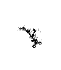 CC(C)(CC(=O)CN)OC(=O)CCC(NCCNC(=O)C(CCN(C(=O)CO)C(c1cc(-c2cc(F)ccc2F)cn1Cc1ccccc1)C(C)(C)C)NC(=O)OCC[Si](C)(C)C)C(N)=O